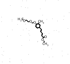 CCOC(=O)/C=C/C=C/c1ccc(OCOCCOC)c(C)c1